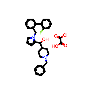 O=C(O)C(=O)O.OC(c1cccn1Cc1ccccc1-c1ccccc1F)C1CCN(Cc2ccccc2)CC1